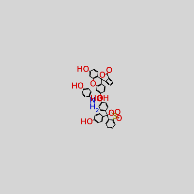 Nc1ccc(O)cc1.O=C1OC2(c3ccc(O)cc3Oc3cc(O)ccc32)c2ccccc21.O=S1(=O)OC(c2ccc(O)cc2)(c2ccc(O)cc2)c2ccccc21